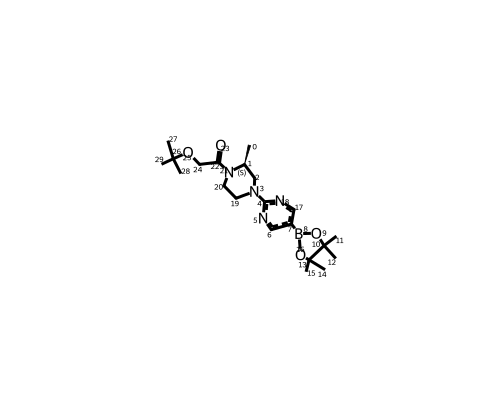 C[C@H]1CN(c2ncc(B3OC(C)(C)C(C)(C)O3)cn2)CCN1C(=O)COC(C)(C)C